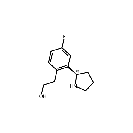 OCCc1ccc(F)cc1[C@H]1CCCN1